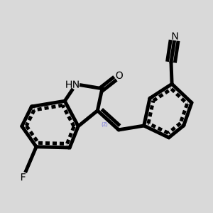 N#Cc1cccc(/C=C2\C(=O)Nc3ccc(F)cc32)c1